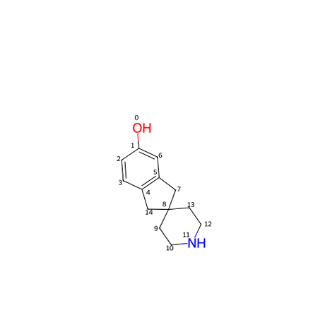 Oc1ccc2c(c1)CC1(CCNCC1)C2